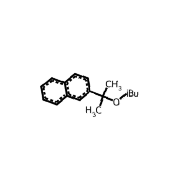 CCC(C)OC(C)(C)c1ccc2ccccc2c1